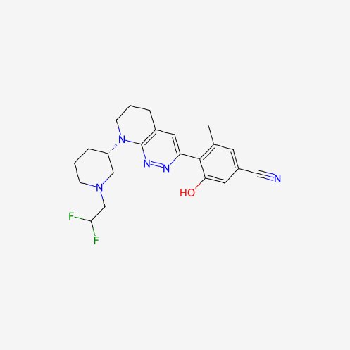 Cc1cc(C#N)cc(O)c1-c1cc2c(nn1)N([C@H]1CCCN(CC(F)F)C1)CCC2